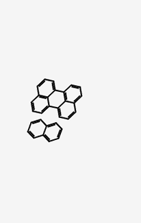 c1cc2cccc3c4cccc5cccc(c(c1)c23)c54.c1ccc2ccccc2c1